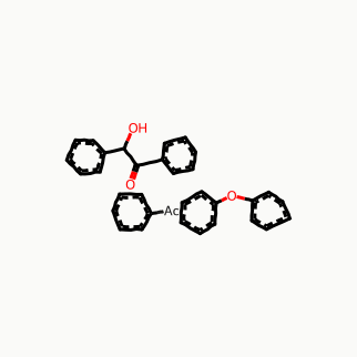 CC(=O)c1ccccc1.O=C(c1ccccc1)C(O)c1ccccc1.c1ccc(Oc2ccccc2)cc1